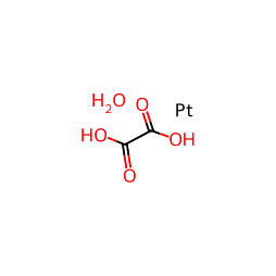 O.O=C(O)C(=O)O.[Pt]